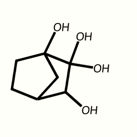 OC1C2CCC(O)(C2)C1(O)O